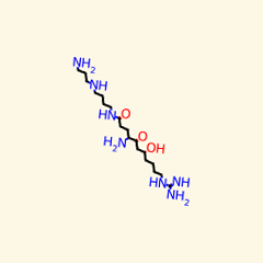 N=C(N)NCCCCC(O)CC(=O)C(N)CCC(=O)NCCCCNCCCN